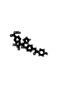 COC(=O)c1ccc2c(c1)NC(=O)/C2=C(\Nc1ccc(CC(=O)N2CCN(C)CC2)cc1)c1cccs1